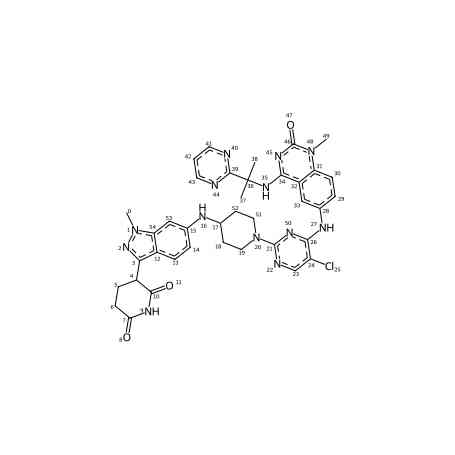 Cn1nc(C2CCC(=O)NC2=O)c2ccc(NC3CCN(c4ncc(Cl)c(Nc5ccc6c(c5)c(NC(C)(C)c5ncccn5)nc(=O)n6C)n4)CC3)cc21